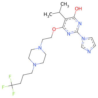 CC(C)c1c(O)nc(-n2ccnc2)nc1OCCN1CCN(CCCC(F)(F)F)CC1